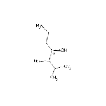 CC(C)C(O)[C@H](O)CCN